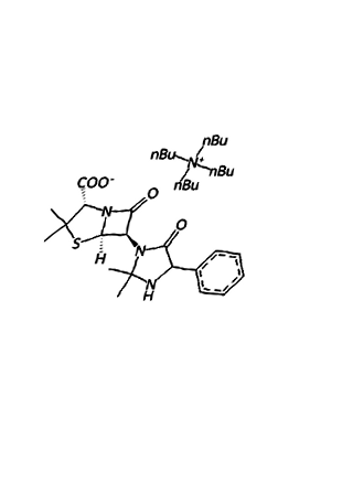 CC1(C)S[C@@H]2[C@H](N3C(=O)C(c4ccccc4)NC3(C)C)C(=O)N2[C@H]1C(=O)[O-].CCCC[N+](CCCC)(CCCC)CCCC